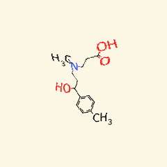 Cc1ccc(C(O)CCN(C)CCC(=O)O)cc1